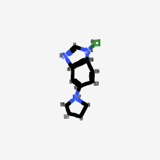 Cln1cnc2cc(N3CCCC3)ccc21